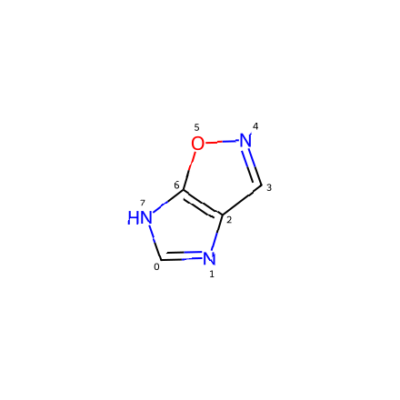 c1nc2cnoc2[nH]1